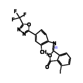 Cc1cc(-c2nnc(C(F)(F)F)o2)ccc1/N=C1\OC(=O)c2c(I)cccc21